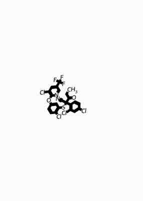 CCC(=O)C(C#N)(Sc1cc(Oc2ncc(C(F)(F)F)cc2Cl)ccc1Cl)c1ccc(Cl)cc1Cl